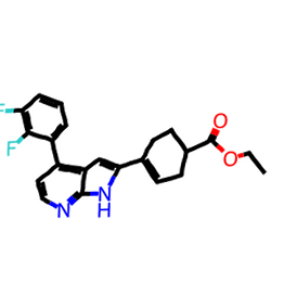 CCOC(=O)C1CC=C(c2cc3c(-c4cccc(F)c4F)ccnc3[nH]2)CC1